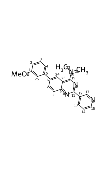 COc1cccc(-c2ccc3nc(-c4cccnc4)nc(N(C)C)c3c2)c1